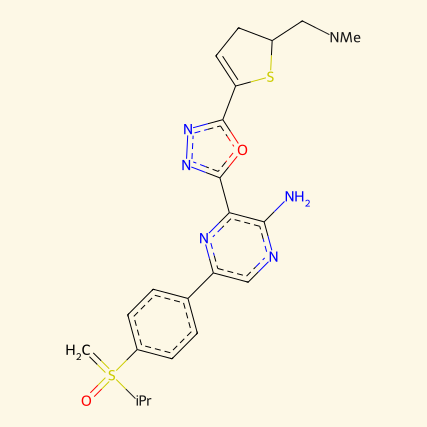 C=S(=O)(c1ccc(-c2cnc(N)c(-c3nnc(C4=CCC(CNC)S4)o3)n2)cc1)C(C)C